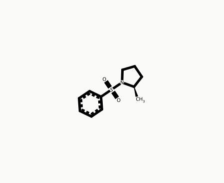 C[C@@H]1CCCN1S(=O)(=O)c1ccccc1